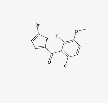 COc1ccc(Cl)c(C(=O)c2ccc(Br)s2)c1F